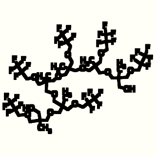 CC(CO)(COCC(C)(COCC(C)(COCC(C)(COCC(C)(COCC(C)(CO)COCC(F)(F)C(F)(F)F)COCC(F)(F)C(F)(F)F)COCC(F)(F)C(F)(F)F)COCC(F)(F)C(F)(F)F)COCC(F)(F)C(F)(F)F)COCC(F)(F)C(F)(F)F